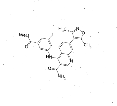 COC(=O)c1cc(I)cc(Nc2c(C(N)=O)cnc3cc(-c4c(C)noc4C)ccc23)c1